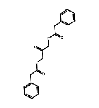 O=C(COC(=O)Cc1ccccc1)COC(=O)Cc1ccccc1